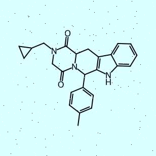 Cc1ccc(C2c3[nH]c4ccccc4c3CC3C(=O)N(CC4CC4)CC(=O)N32)cc1